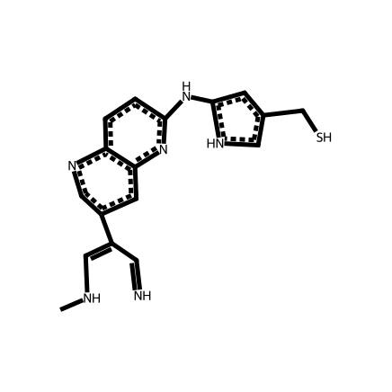 CN/C=C(\C=N)c1cnc2ccc(Nc3cc(CS)c[nH]3)nc2c1